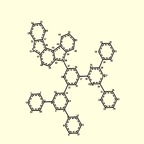 c1ccc(-c2cc(-c3ccccc3)cc(-c3cc(-c4nc(-c5ccccc5)nc(-c5ccccc5)n4)cc(-n4c5ccccc5c5c6c(ccc54)sc4ccccc46)c3)c2)cc1